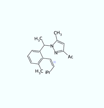 CC(=O)c1cc(C)n(C(C)c2cccc(C)c2/C=C\C(C)C)n1